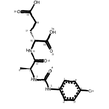 C[C@H](NC(=O)Nc1ccc(Cl)cc1)C(=O)N[C@H](CCC(=O)O)C(=O)O